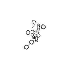 O=C(NC(CCN1CCC[C@H]1CNc1ccccc1)c1ccccc1)C1SCCN1S(=O)(=O)c1ccc(-c2ccccc2)cc1